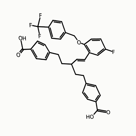 O=C(O)c1ccc(CCC(/C=C/c2cc(F)ccc2OCc2ccc(C(F)(F)F)cc2)CCc2ccc(C(=O)O)cc2)cc1